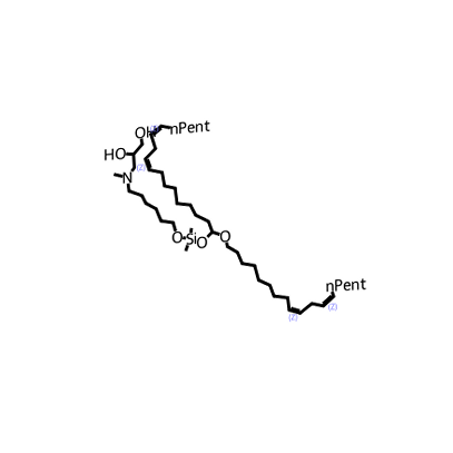 CCCCC/C=C\C/C=C\CCCCCCCCOC(CCCCCCC/C=C\C/C=C\CCCCC)O[Si](C)(C)OCCCCCCN(C)CC(O)CO